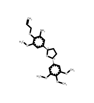 C=CCOc1c(N)cc([C@H]2CC[C@H](c3cc(OC)c(OC)c(OC)c3)O2)cc1OC